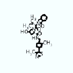 Cc1cc(-c2scnc2C)ccc1CNC(=O)[C@@H]1C[C@@H](O)CN1C(=O)[C@H](C(C)C)N1Cc2ccccc2C1=O